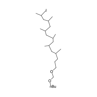 CCCCOCOCCCC(C)CC(C)CC(C)CC(C)CC(C)CC(C)I